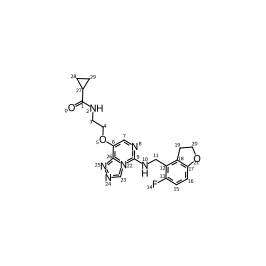 O=C(NCCOc1cnc(NCc2c(F)ccc3c2CCO3)n2cnnc12)C1CC1